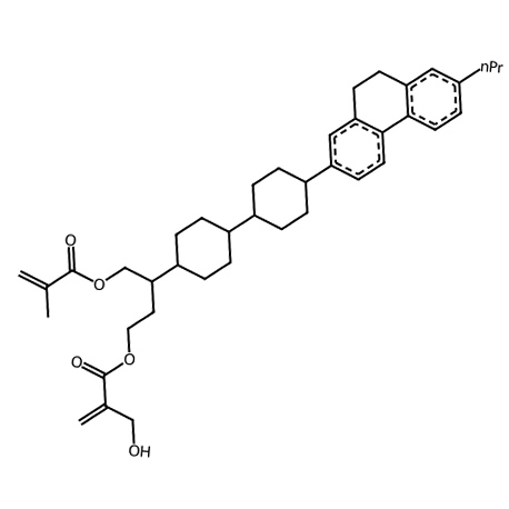 C=C(C)C(=O)OCC(CCOC(=O)C(=C)CO)C1CCC(C2CCC(c3ccc4c(c3)CCc3cc(CCC)ccc3-4)CC2)CC1